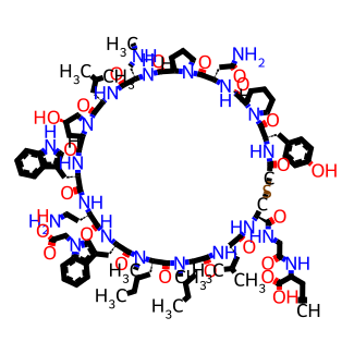 C#CCC(NC(=O)CNC(=O)[C@@H]1CSCC(=O)N[C@@H](Cc2ccc(O)cc2)C(=O)N2CCCC[C@H]2C(=O)N[C@@H](CC(N)=O)C(=O)N2CCC[C@H]2C(=O)N[C@@H](CNC)C(=O)N[C@@H](CC(C)C)C(=O)N2C[C@H](O)C[C@H]2C(=O)N[C@@H](Cc2c[nH]c3ccccc23)C(=O)N[C@@H](CCN)C(=O)N[C@@H](Cc2cn(CC(=O)O)c3ccccc23)C(=O)N(C)[C@@H](CCCC)C(=O)N(C)[C@@H](CCCC)C(=O)N[C@@H](CC(C)C)C(=O)N1)C(=O)O